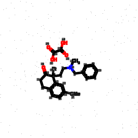 CCC1(CCN(C)Cc2ccccc2)C(=O)CCc2ccc(OC)cc21.O=C(O)C(=O)O